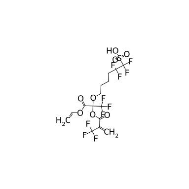 C=COC(=O)C(OCCCCC(F)(F)C(F)(F)S(=O)(=O)O)(OC(=O)C(=C)C(F)(F)F)C(F)(F)F